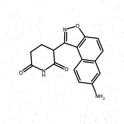 Nc1ccc2c(ccc3onc(C4CCC(=O)NC4=O)c32)c1